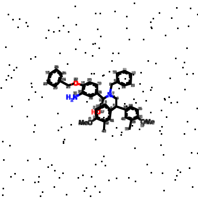 COc1ccc(C(CN(Cc2ccccc2)C(CO)c2ccc(OCc3ccccc3)c(N)c2)c2ccc(OC)c(C)c2)cc1C